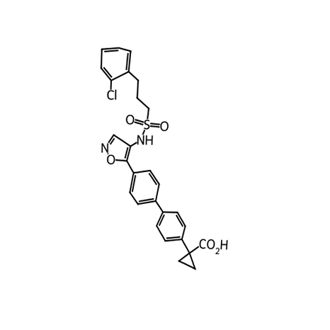 O=C(O)C1(c2ccc(-c3ccc(-c4oncc4NS(=O)(=O)CCCc4ccccc4Cl)cc3)cc2)CC1